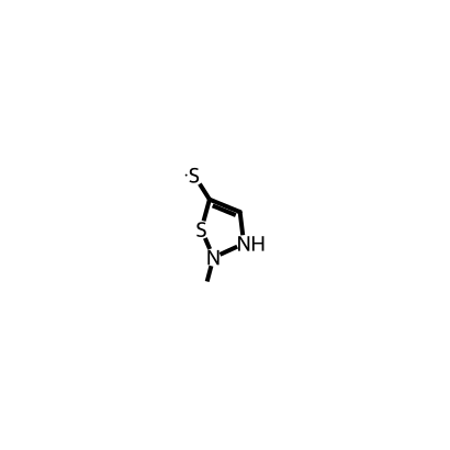 CN1NC=C([S])S1